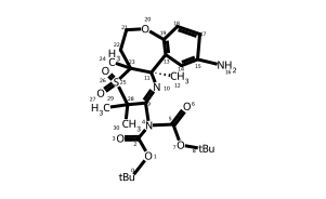 CC(C)(C)OC(=O)N(C(=O)OC(C)(C)C)C1=N[C@]2(C)c3cc(N)ccc3OCCC2(C)S(=O)(=O)C1(C)C